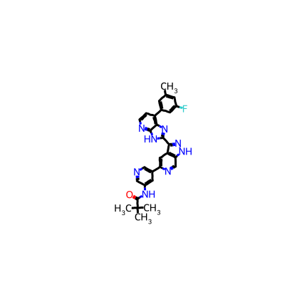 Cc1cc(F)cc(-c2ccnc3[nH]c(-c4n[nH]c5cnc(-c6cncc(NC(=O)C(C)(C)C)c6)cc45)nc23)c1